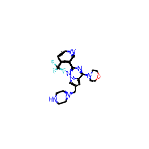 FC(F)(F)c1c[c]ncc1-c1nc(N2CCOCC2)c2cc(CN3CCNCC3)cn2n1